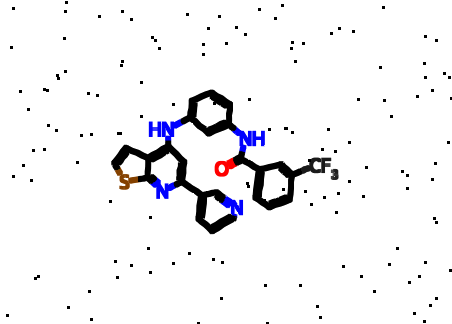 O=C(Nc1cccc(Nc2cc(-c3cccnc3)nc3sccc23)c1)c1cccc(C(F)(F)F)c1